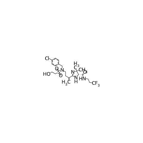 C=C(CCN(Cc1ccc(Cl)cc1)S(=O)(=O)CCO)C1=NC(C)(C)[C@H](C(=O)NCCC(F)(F)F)N1